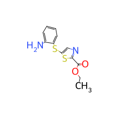 CCOC(=O)c1ncc(Sc2ccccc2N)s1